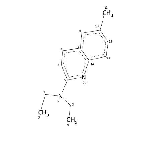 CCN(CC)c1ccc2cc(C)ccc2n1